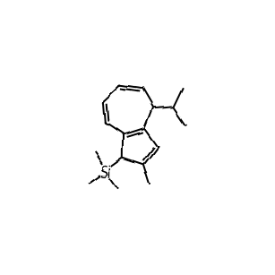 CC1=CC2=C(C=CC=CC2C(C)C)C1[Si](C)(C)C